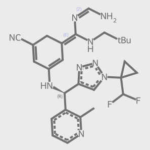 Cc1ncccc1[C@@H](NC1=C/C(=C(/N=C\N)NCC(C)(C)C)CC(C#N)=C1)c1cn(C2(C(F)F)CC2)nn1